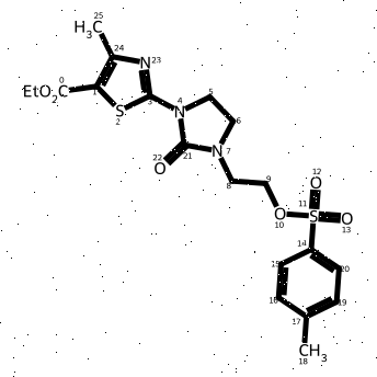 CCOC(=O)c1sc(N2CCN(CCOS(=O)(=O)c3ccc(C)cc3)C2=O)nc1C